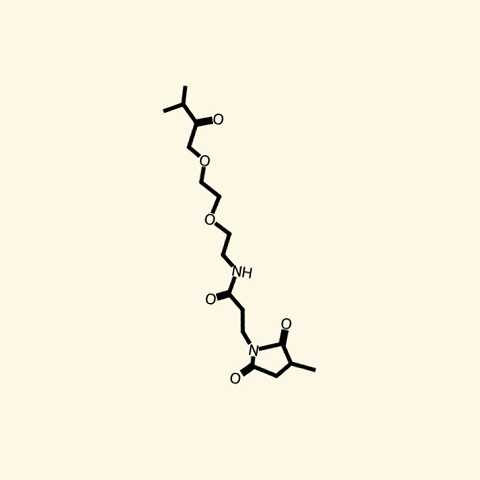 CC(C)C(=O)COCCOCCNC(=O)CCN1C(=O)CC(C)C1=O